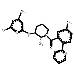 Cc1ccc(-c2ncccn2)c(C(=O)N2CCC[C@H](Nc3cc(C)nc(C(F)(F)F)n3)[C@H]2C)c1